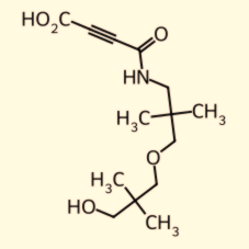 CC(C)(CO)COCC(C)(C)CNC(=O)C#CC(=O)O